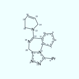 CC(C)c1nnc2n1-c1ccccc1C(N1CC=CCC1)=NC2